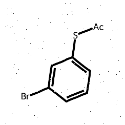 CC(=O)Sc1cccc(Br)c1